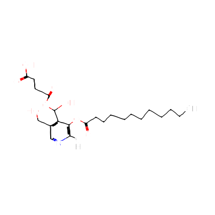 CCCCCCCCCCCC(=O)Oc1c(C)ncc(CO)c1C(O)OC(=O)CCC(=O)O